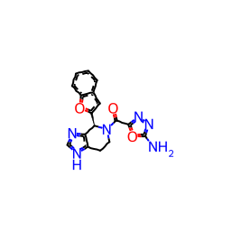 Nc1nnc(C(=O)N2CCc3[nH]cnc3[C@H]2c2cc3ccccc3o2)o1